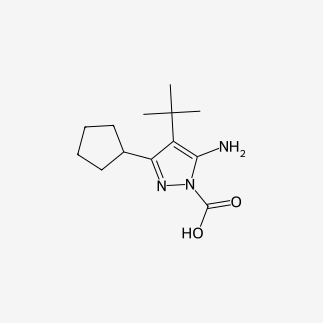 CC(C)(C)c1c(C2CCCC2)nn(C(=O)O)c1N